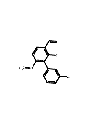 COc1ccc(C=O)c(F)c1-c1cccc(Cl)c1